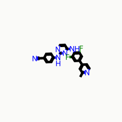 Cc1cc(-c2cc(F)c(Nc3ccnc(Nc4ccc(C#N)cc4)n3)c(F)c2)ccn1